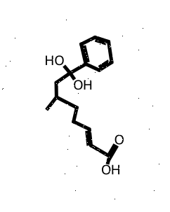 CC(CCC=CC(=O)O)CC(O)(O)c1ccccc1